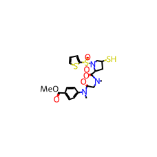 COC(=O)c1ccc(N(C)C(=O)CN(C)C(=O)C2CC(S)CN2S(=O)(=O)c2cccs2)cc1